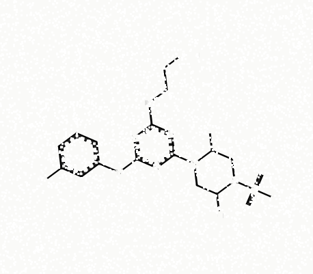 CC1CN(S(C)(=O)=O)C(C)CN1c1nc(NCCS(=O)(=O)O)nc(Nc2cccc(S(=O)(=O)O)c2)n1